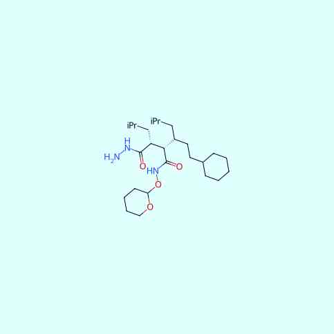 CC(C)CC(CCC1CCCCC1)[C@H](C(=O)NOC1CCCCO1)[C@@H](CC(C)C)C(=O)NN